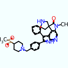 CN1C(=O)C2(CCNC2)c2c1cnc1[nH]c(-c3ccc(CN4CCC(S(C)(=O)=O)CC4)cc3)c(-c3ccccc3)c21